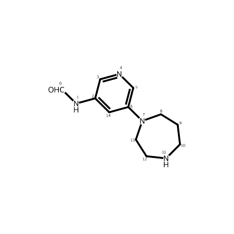 O=CNc1cncc(N2CCCNCC2)c1